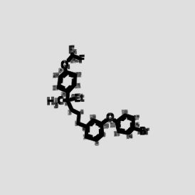 CCC(C)(CCCc1cccc(Oc2ccc(Br)cc2)c1)c1ccc(OC(F)F)cc1